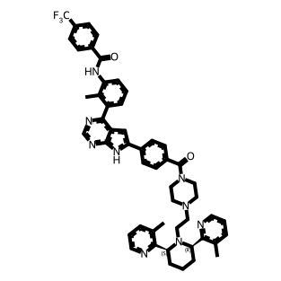 Cc1cccnc1[C@H]1CCC[C@@H](c2ncccc2C)N1CCN1CCN(C(=O)c2ccc(-c3cc4c(-c5cccc(NC(=O)c6ccc(C(F)(F)F)cc6)c5C)ncnc4[nH]3)cc2)CC1